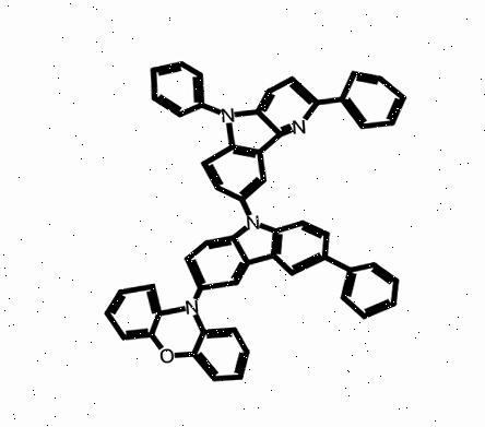 c1ccc(-c2ccc3c(c2)c2cc(N4c5ccccc5Oc5ccccc54)ccc2n3-c2ccc3c(c2)c2nc(-c4ccccc4)ccc2n3-c2ccccc2)cc1